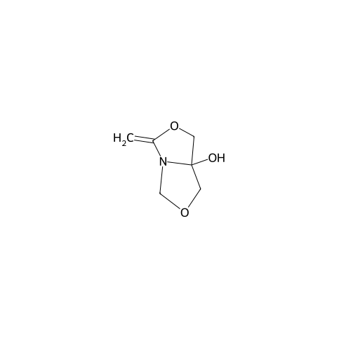 C=C1OCC2(O)COCN12